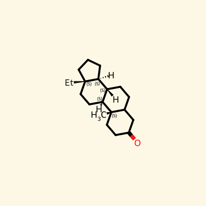 CC[C@@]12CCC[C@H]1[C@@H]1CCC3CC(=O)CC[C@]3(C)[C@H]1CC2